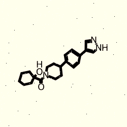 O=C(N1CCC(c2ccc(-c3cn[nH]c3)cc2)CC1)C1(O)CCCCC1